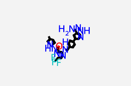 Cc1ccc(NC(=O)c2nc(C(F)(F)F)cnc2NCc2ccc(-c3cnc4[nH]nc(N)c4c3)cc2)nc1